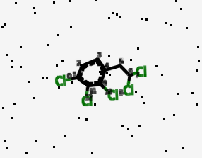 Clc1ccc(CC(Cl)Cl)c(Cl)c1Cl